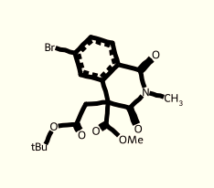 COC(=O)C1(CC(=O)OC(C)(C)C)C(=O)N(C)C(=O)c2ccc(Br)cc21